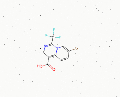 O=C(O)C1=C2C=CC(Br)=CN2C(C(F)(F)F)=NC1